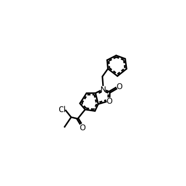 CC(Cl)C(=O)c1ccc2c(c1)oc(=O)n2Cc1ccccc1